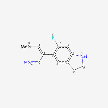 CN/C=C(\C=N)c1cc2c(cc1F)NCC2